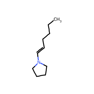 CCCCC=CN1CCCC1